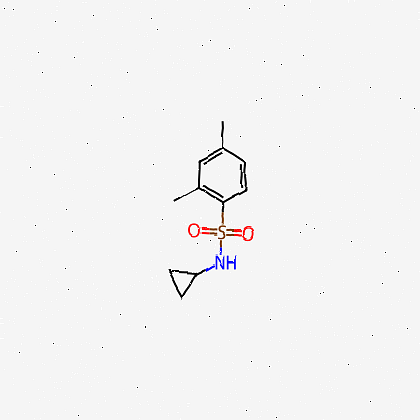 Cc1ccc(S(=O)(=O)NC2CC2)c(C)c1